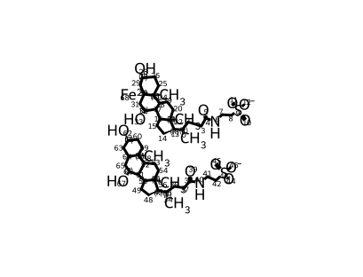 C[C@H](CCC(=O)NCCS(=O)(=O)[O-])[C@H]1CCC2C3C(CC[C@@]21C)[C@@]1(C)CC[C@@H](O)CC1C[C@@H]3O.C[C@H](CCC(=O)NCCS(=O)(=O)[O-])[C@H]1CCC2C3C(CC[C@@]21C)[C@@]1(C)CC[C@@H](O)CC1C[C@@H]3O.[Fe+2]